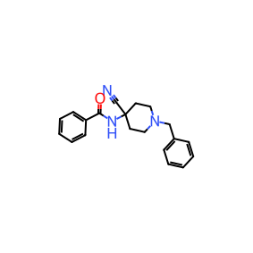 N#CC1(NC(=O)c2ccccc2)CCN(Cc2ccccc2)CC1